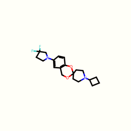 FC1(F)CCN(c2ccc3c(c2)COC2(CCN(C4CCC4)CC2)O3)C1